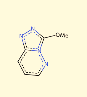 COc1nnc2cccnn12